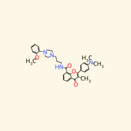 COc1ccccc1N1CCN(CCCNC(=O)c2cccc3c(=O)c(C)c(-c4ccc(N(C)C)cc4)oc23)CC1